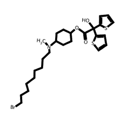 CN(CCCCCCCCCBr)C1CCC(OC(=O)C(O)(c2cccs2)c2cccs2)CC1